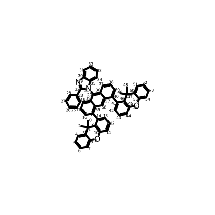 CC1(C)c2ccccc2Oc2cccc(-c3cccc4c(-n5c(-c6ccccc6)nc6ccccc65)c5cccc(-c6cccc7c6C(C)(C)c6ccccc6O7)c5cc34)c21